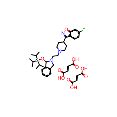 CC(C)[Si](OC1c2ccccc2CN1CCN1CCC(c2noc3cc(F)ccc23)CC1)(C(C)C)C(C)C.O=C(O)C=CC(=O)O.O=C(O)C=CC(=O)O